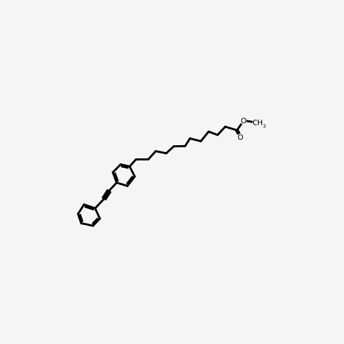 COC(=O)CCCCCCCCCCCc1ccc(C#Cc2ccccc2)cc1